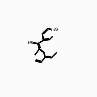 C=C/C(=C/C)C/C(C)=C(/S)C(=CC)/C=C\CCCC